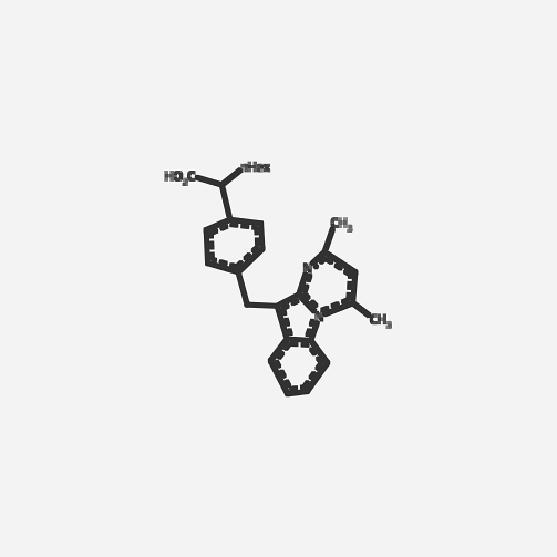 CCCCCCC(C(=O)O)c1ccc(Cc2c3ccccc3n3c(C)cc(C)nc23)cc1